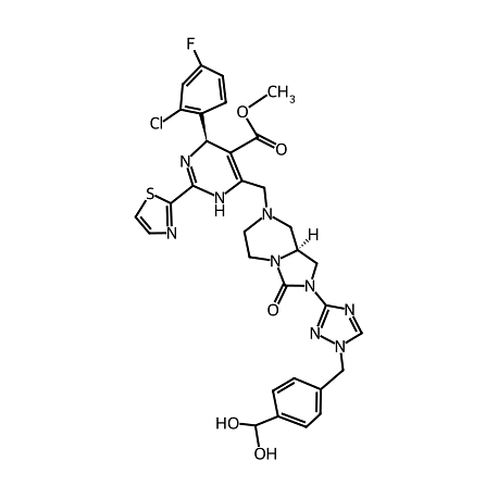 COC(=O)C1=C(CN2CCN3C(=O)N(c4ncn(Cc5ccc(C(O)O)cc5)n4)C[C@@H]3C2)NC(c2nccs2)=N[C@H]1c1ccc(F)cc1Cl